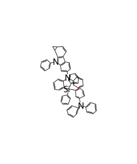 C1=CC2CC2c2c1c1ccc(N(c3ccccc3)c3ccccc3[Si](c3ccccc3)(c3ccccc3)c3cccc(N(c4ccccc4)c4ccccc4)c3)cc1n2-c1ccccc1